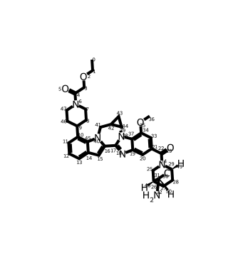 CCOCC(=O)N1CCC(c2cccc3cc(-c4nc5cc(C(=O)N6C[C@H]7CC[C@@H]6C[C@@H]7N)cc(OC)c5n4C)n(CC4CC4)c23)CC1